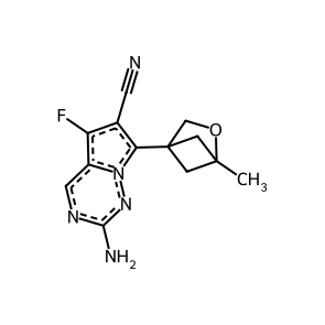 CC12CC(c3c(C#N)c(F)c4cnc(N)nn34)(CO1)C2